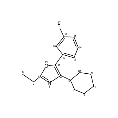 CCc1nc(C2CCCCC2)c(-c2cccc(F)c2)o1